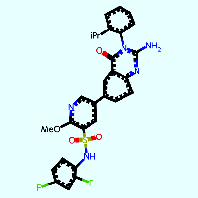 COc1ncc(-c2ccc3nc(N)n(-c4ccccc4C(C)C)c(=O)c3c2)cc1S(=O)(=O)Nc1ccc(F)cc1F